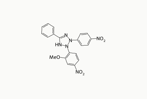 COc1cc([N+](=O)[O-])ccc1N1NC(c2ccccc2)=NN1c1ccc([N+](=O)[O-])cc1